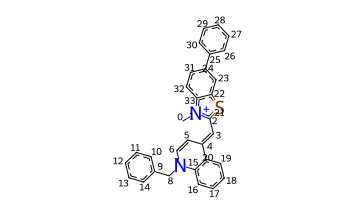 C[n+]1c(C=C2C=CN(Cc3ccccc3)c3ccccc32)sc2cc(-c3ccccc3)ccc21